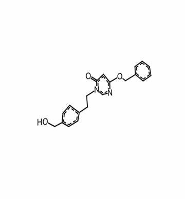 O=c1cc(OCc2ccccc2)ncn1CCc1ccc(CO)cc1